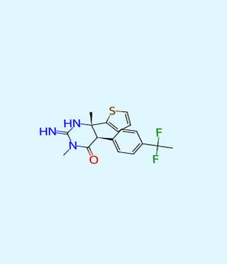 CN1C(=N)N[C@](C)(c2cccs2)[C@@H](c2ccc(C(C)(F)F)cc2)C1=O